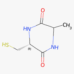 CC1NC(=O)[C@H](CS)NC1=O